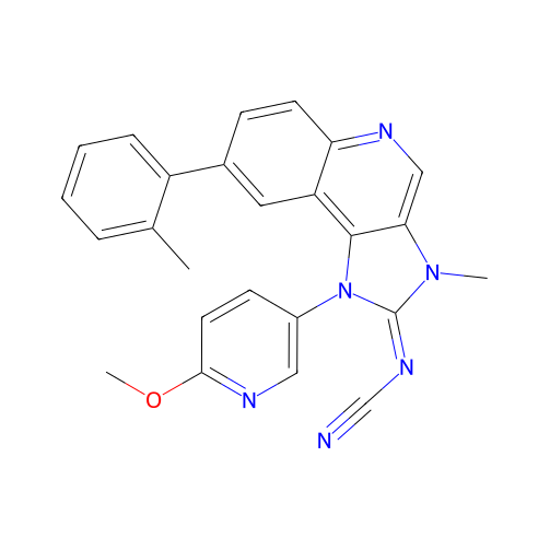 COc1ccc(-n2c(=NC#N)n(C)c3cnc4ccc(-c5ccccc5C)cc4c32)cn1